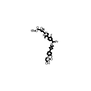 Cc1nc(-c2cc(C(=O)OC(C)(C)C)on2)ncc1-c1ccc(C(C(C)C)N2CC3(CC(c4ccc(N5CCC(=O)NC5=O)c(F)c4)C3)C2)cc1F